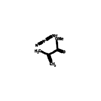 C=C(C)C(=O)OC.[N-]=[N+]=N